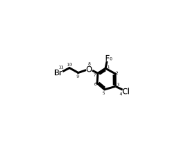 Fc1cc(Cl)ccc1OCCBr